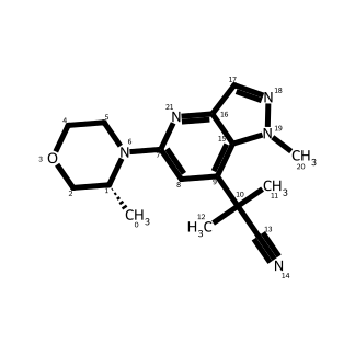 C[C@@H]1COCCN1c1cc(C(C)(C)C#N)c2c(cnn2C)n1